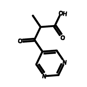 CC(C(=O)O)C(=O)c1cncnc1